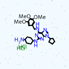 COc1cc(CNc2nc(NC3CCC(N)CC3)nc3c2ncn3C2CCCC2)cc(OC)c1OC.Cl.Cl